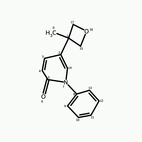 CC1(c2ccc(=O)n(-c3ccccc3)c2)COC1